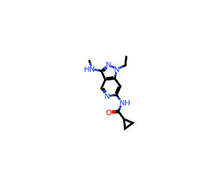 CCn1nc(NC)c2cnc(NC(=O)C3CC3)cc21